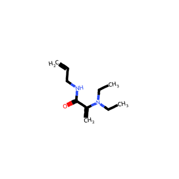 C=CCNC(=O)C(=C)N(CC)CC